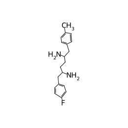 Cc1ccc(CC(N)CCC(N)Cc2ccc(F)cc2)cc1